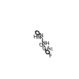 CC(=O)c1cc(F)ccc1OCC(=O)NCCc1nc2ccccc2[nH]1